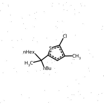 CCCCCCC(C)(CCCC)c1cc(C)c(Cl)s1